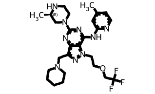 Cc1ccnc(Nc2nc(N3CCN[C@H](C)C3)nc3c(CN4CCCCC4)nn(CCOCC(F)(F)F)c23)c1